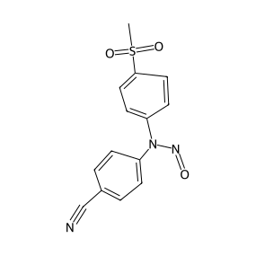 CS(=O)(=O)c1ccc(N(N=O)c2ccc(C#N)cc2)cc1